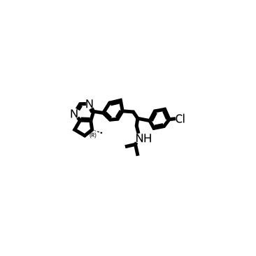 CC(C)NCC(Cc1ccc(-c2ncnc3c2[C@H](C)CC3)cc1)c1ccc(Cl)cc1